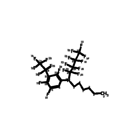 CCCCCCN(c1cc(F)c(F)c(C(F)(F)C(F)(F)F)c1F)C(F)(F)C(F)(F)C(F)(F)C(F)(F)F